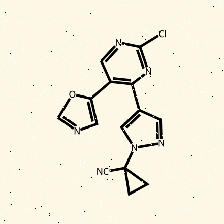 N#CC1(n2cc(-c3nc(Cl)ncc3-c3cnco3)cn2)CC1